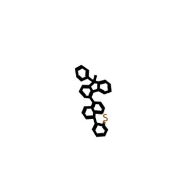 CC1(c2ccccc2)c2ccccc2-c2c(-c3ccc4c5c(cccc35)-c3ccccc3S4)cccc21